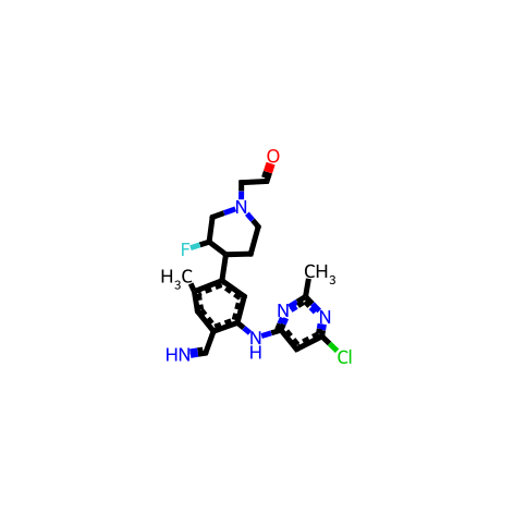 Cc1nc(Cl)cc(Nc2cc(C3CCN(CC=O)CC3F)c(C)cc2C=N)n1